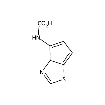 O=C(O)NC1=CC=C2SC=NC12